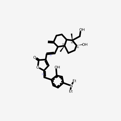 C=C1CCC2[C@](C)(CC[C@@H](O)[C@@]2(C)CO)C1/C=C/C1=CC(=C\c2ccc(N(CC)CC)cc2O)/OC1=O